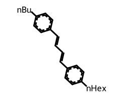 CCCCCCc1ccc(C=CC=Cc2ccc(CCCC)cc2)cc1